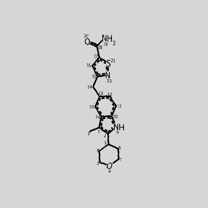 Cc1c(C2CCOCC2)[nH]c2ccc(Cc3cc(C(N)=O)sn3)cc12